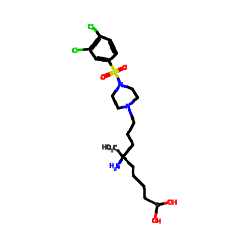 NC(CCCCB(O)O)(CCCN1CCN(S(=O)(=O)c2ccc(Cl)c(Cl)c2)CC1)C(=O)O